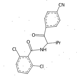 CC(C)C(NC(=O)c1c(Cl)cccc1Cl)C(=O)c1ccc(C#N)cc1